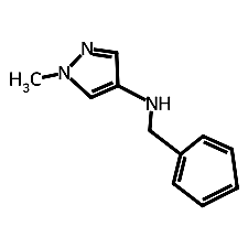 Cn1cc(NCc2ccccc2)cn1